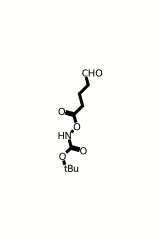 CC(C)(C)OC(=O)NOC(=O)CCCC=O